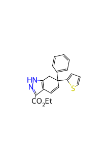 CCOC(=O)c1n[nH]c2c1C=CC(c1ccccc1)(c1cccs1)C2